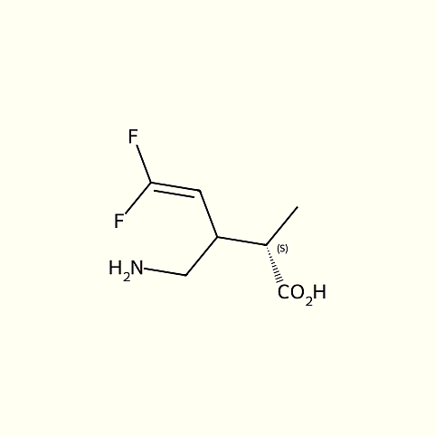 C[C@H](C(=O)O)C(C=C(F)F)CN